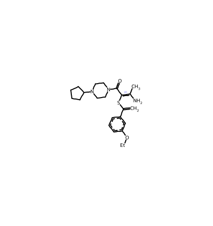 C=C(S/C(C(=O)N1CCN(C2CCCC2)CC1)=C(/C)N)c1cccc(OCC)c1